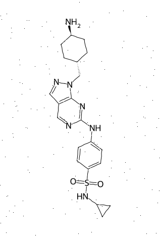 N[C@H]1CC[C@H](Cn2ncc3cnc(Nc4ccc(S(=O)(=O)NC5CC5)cc4)nc32)CC1